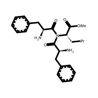 COC(=O)[C@H](CC(C)C)N(C(=O)[C@@H](N)Cc1ccccc1)C(=O)[C@@H](N)Cc1ccccc1